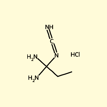 CCC(N)(N)N=C=N.Cl